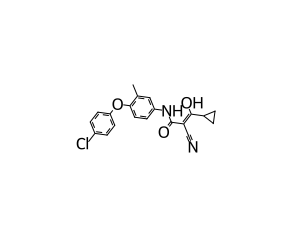 Cc1cc(NC(=O)C(C#N)=C(O)C2CC2)ccc1Oc1ccc(Cl)cc1